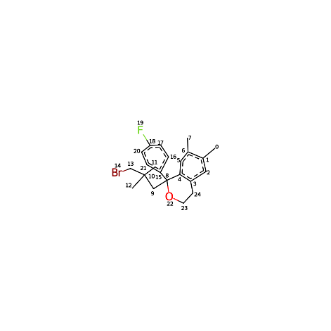 Cc1cc2c(cc1C)C(CC(C)(C)CBr)(c1ccc(F)cc1)OCC2